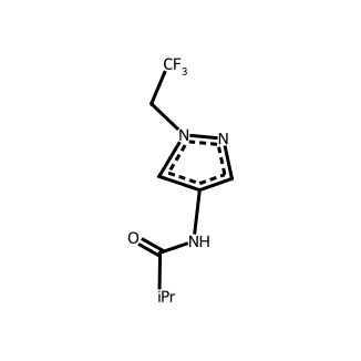 CC(C)C(=O)Nc1cnn(CC(F)(F)F)c1